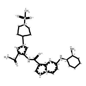 CS(=O)(=O)N1CCC(n2cc(NC(=O)c3cnn4ccc(N[C@@H]5CCCC[C@@H]5N)nc34)c(C(N)=O)n2)CC1